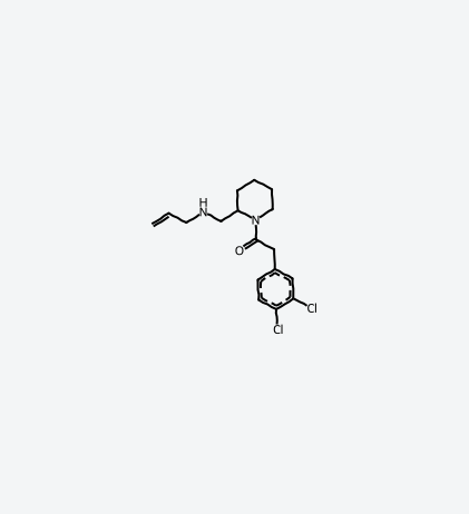 C=CCNCC1CCCCN1C(=O)Cc1ccc(Cl)c(Cl)c1